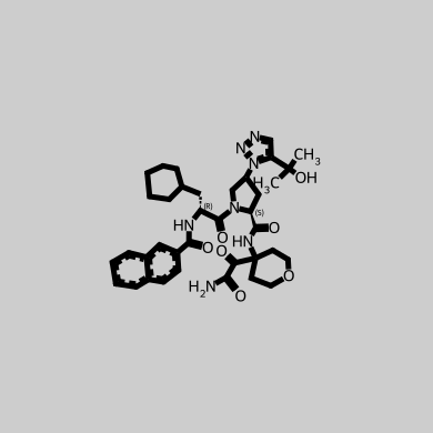 CC(C)(O)c1cnnn1C1C[C@@H](C(=O)NC2(C(=O)C(N)=O)CCOCC2)N(C(=O)[C@@H](CC2CCCCC2)NC(=O)c2ccc3ccccc3c2)C1